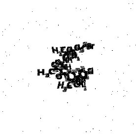 CC(C)C(NC(=O)NCC(C)(C)OC(=O)OCCBr)C(=O)N1CC[C@](O)(c2ccc(Cl)cc2)C(C)(C)C1